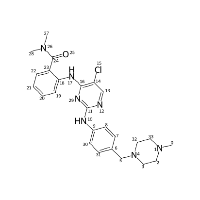 CN1CCN(Cc2ccc(Nc3ncc(Cl)c(Nc4ccccc4C(=O)N(C)C)n3)cc2)CC1